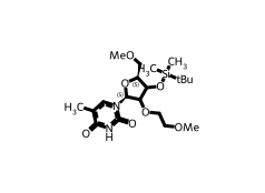 COCCOC1C(O[Si](C)(C)C(C)(C)C)[C@H](COC)O[C@@H]1n1cc(C)c(=O)[nH]c1=O